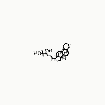 C[C@H](CC[C@H](O)C(C)(C)O)[C@H]1CC[C@H]2[C@@H]3CC=C4C[CH]CC[C@]4(C)[C@H]3CC[C@]12C